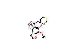 COc1c2c(c(OC)c3occc13)OC1(CCSCC1)CC2=O